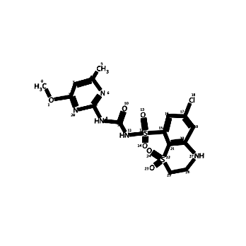 COc1cc(C)nc(NC(=O)NS(=O)(=O)c2cc(Cl)cc3c2S(=O)(=O)CCN3)n1